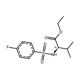 CCOC(=O)[C@H](NS(=O)(=O)c1ccc(F)cc1)C(C)C